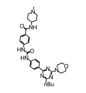 CCCCc1nc(-c2ccc(NC(=O)Nc3ccc(C(=O)NC4CCN(C)CC4)cc3)cc2)nc(N2CCOCC2)n1